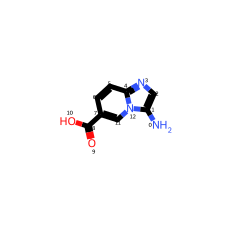 Nc1cnc2ccc(C(=O)O)cn12